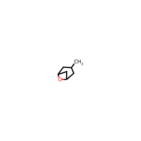 CC1CC2CC(C1)O2